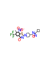 Cc1c(C(F)(F)F)cc2c(=O)nc(N3CCC(c4nc(C5CCC5)no4)CC3)sc2c1[N+](=O)[O-]